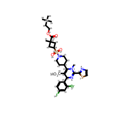 CN1C(c2nccs2)=NC(c2ccc(F)cc2Br)C(C(=O)O)=C1C1CCN(S(=O)(=O)C2CC(C)(C(=O)OCC[Si](C)(C)C)C2)CC1